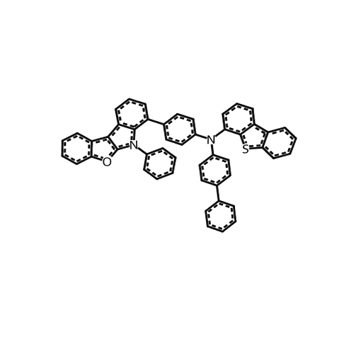 c1ccc(-c2ccc(N(c3ccc(-c4cccc5c6c7ccccc7oc6n(-c6ccccc6)c45)cc3)c3cccc4c3sc3ccccc34)cc2)cc1